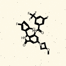 COC1CN(c2cc(NC(=O)c3cc(F)cc(C(F)(F)F)c3)c3c(c2)C(=O)NC3c2cc(F)ccc2Cl)C1